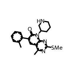 CSc1nc(C)c2cc(-c3ccccc3C)c(=O)n(C3CCCNC3)c2n1